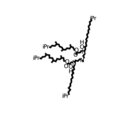 CC(C)CCCCCCCCCCCCCC(O)CN(CCCN(C)CCCN(CCC(=O)OCCC(C)CCCC(C)CCCC(C)CCCC(C)C)CC(O)CCCCCCCCCCCCCC(C)C)CCC(=O)OCCC(C)CCCC(C)CCCC(C)CCCC(C)C